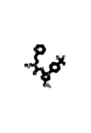 Cc1cn(-c2ccc(C(F)(F)F)cc2)/c(=N/C(=O)N(C)CCc2ccccn2)s1